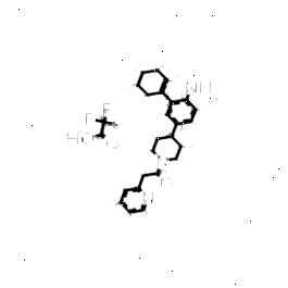 Nc1ccc(C2CCN(C(=O)Cc3ccccn3)CC2)cc1C1=CCCCC1.O=C(O)C(F)(F)F